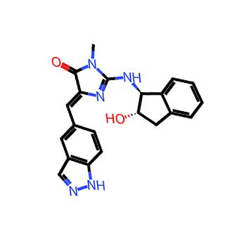 CN1C(=O)/C(=C/c2ccc3[nH]ncc3c2)N=C1N[C@H]1c2ccccc2C[C@@H]1O